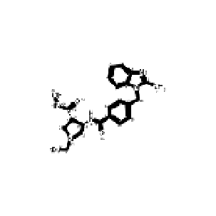 Cc1nc2ccccc2n1Cc1ccc(C(=O)N[C@@H]2CN(CC(C)(C)C)C[C@@H]2C(=O)NO)cc1